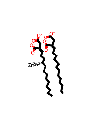 CCCCCCCCCCCCC=C(CC(=O)[O-])C(=O)[O-].CCCCCCCCCCCCC=C(CC(=O)[O-])C(=O)[O-].[Zn+2].[Zn+2]